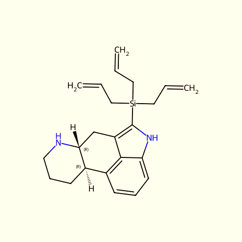 C=CC[Si](CC=C)(CC=C)c1[nH]c2cccc3c2c1C[C@H]1NCCC[C@H]31